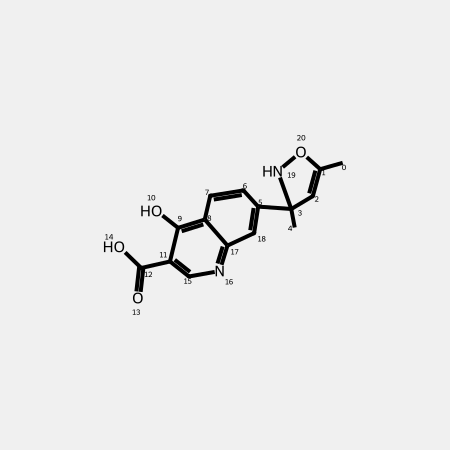 CC1=CC(C)(c2ccc3c(O)c(C(=O)O)cnc3c2)NO1